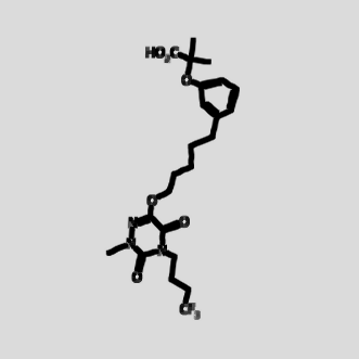 Cn1nc(OCCCCCc2cccc(OC(C)(C)C(=O)O)c2)c(=O)n(CCCC(F)(F)F)c1=O